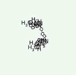 COC(=O)NC(C(=O)N1C2CC[C@@H](C2)[C@H]1c1ncc(-c2ccc(-c3ccc4cc(-c5cnc([C@@H]6CC7(CC7)CN6C(=O)[C@@H](NC(=O)OC)C(C)C)[nH]5)ccc4c3)cc2)[nH]1)c1ccccc1